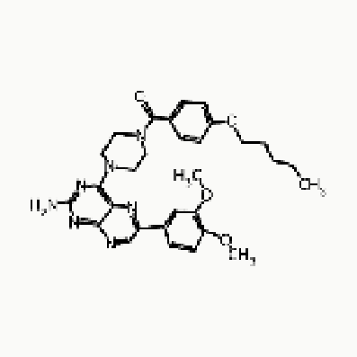 CCCCCOc1ccc(C(=O)N2CCN(c3nc(N)nc4ncc(-c5ccc(OC)c(OC)c5)nc34)CC2)cc1